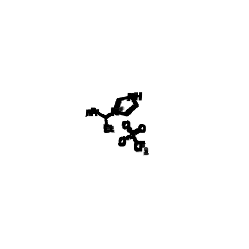 CCCC(CC)[n+]1cc[nH]c1.O=S(=O)([O-])C(F)(F)F